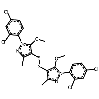 COc1c(SSc2c(C)nn(-c3ccc(Cl)cc3Cl)c2OC)c(C)nn1-c1ccc(Cl)cc1Cl